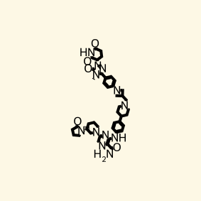 Cn1c(-c2ccc(N3CC(CN4CCC(c5ccc(Nc6nc(N7CCC[C@@H](N8CCCC8=O)C7)cnc6C(N)=O)cc5)CC4)C3)cc2)nn(C2CCC(=O)NC2=O)c1=O